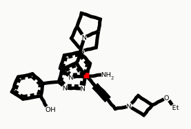 CCOC1CN(CC#Cc2cc(N3C4CCC3CN(c3cc(-c5ccccc5O)nnc3N)C4)ccn2)C1